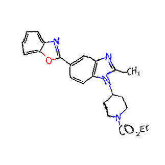 CCOC(=O)N1CCC(n2c(C)nc3cc(-c4nc5ccccc5o4)ccc32)CC1